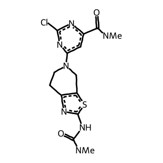 CNC(=O)Nc1nc2c(s1)CN(c1cc(C(=O)NC)nc(Cl)n1)CC2